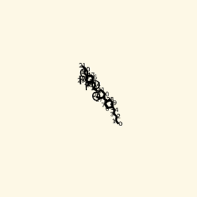 CCCCCc1ccc(C2CCC(COc3ccc(OCC)c(F)c3F)OC2)cc1